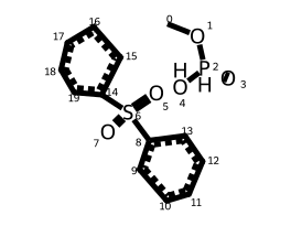 CO[PH](=O)O.O=S(=O)(c1ccccc1)c1ccccc1